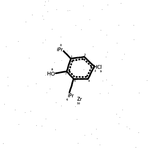 CC(C)c1cccc(C(C)C)c1O.Cl.[Zr]